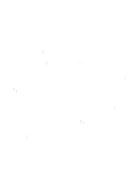 Cl.Cl.Oc1ncc(C2CNCCC2(F)F)cc1C(O)C(F)(F)F